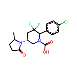 CC1CCC(=O)N1[C@H]1CN(C(=O)O)C(c2ccc(Cl)cc2)C(F)(F)C1